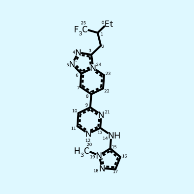 CCC(Cc1nnc2cc(-c3ccnc(Nc4ccnn4C)n3)ccn12)C(F)(F)F